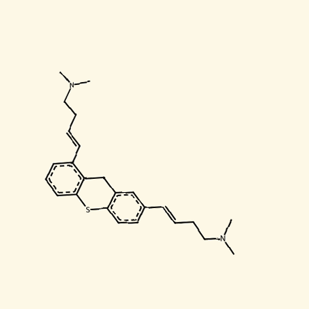 CN(C)CCC=Cc1ccc2c(c1)Cc1c(C=CCCN(C)C)cccc1S2